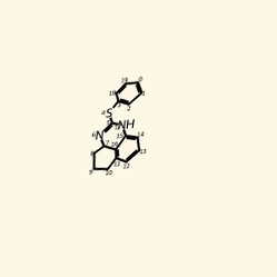 c1ccc(SC2=NC3CCCc4cccc(c43)N2)cc1